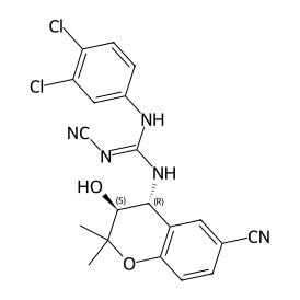 CC1(C)Oc2ccc(C#N)cc2[C@@H](NC(=NC#N)Nc2ccc(Cl)c(Cl)c2)[C@@H]1O